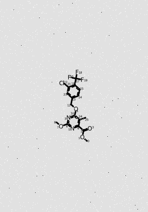 COC(=O)c1nc(OC)nc(OCc2ccc(C(F)(F)F)c(Cl)c2)c1C